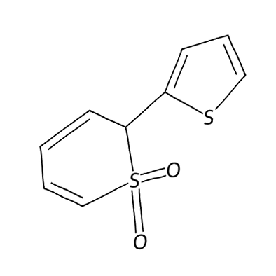 O=S1(=O)C=CC=CC1c1cccs1